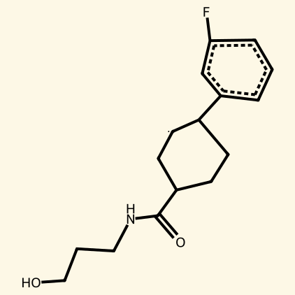 O=C(NCCCO)C1C[CH]C(c2cccc(F)c2)CC1